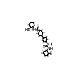 N#Cc1cccnc1NC(=O)N1CCC(c2ccc(NC(=O)Nc3ccccc3F)cc2)CC1